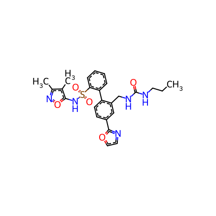 CCCNC(=O)NCc1cc(-c2ncco2)ccc1-c1ccccc1S(=O)(=O)Nc1onc(C)c1C